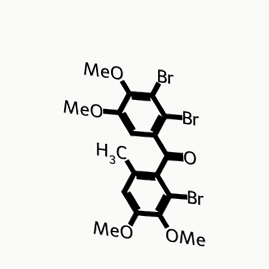 COc1cc(C(=O)c2c(C)cc(OC)c(OC)c2Br)c(Br)c(Br)c1OC